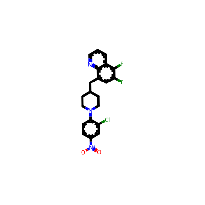 O=[N+]([O-])c1ccc(N2CCC(Cc3cc(F)c(F)c4cccnc34)CC2)c(Cl)c1